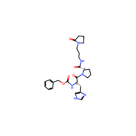 O=C(N[C@@H](Cc1c[nH]cn1)C(=O)N1CCC[C@H]1C(=O)NCCCN1CCCC1=O)OCc1ccccc1